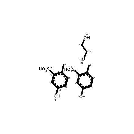 Cc1ccc(O)cc1S(=O)(=O)O.Cc1ccc(O)cc1S(=O)(=O)O.OCCO